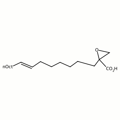 CCCCCCCC/C=C/CCCCCCC1(C(=O)O)CO1